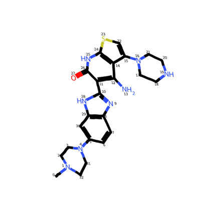 CN1CCN(c2ccc3nc(-c4c(N)c5c(N6CCNCC6)csc5[nH]c4=O)[nH]c3c2)CC1